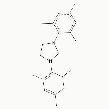 CC1=CC(C)=C(N2CCN(c3c(C)cc(C)cc3C)C2)C(C)C1